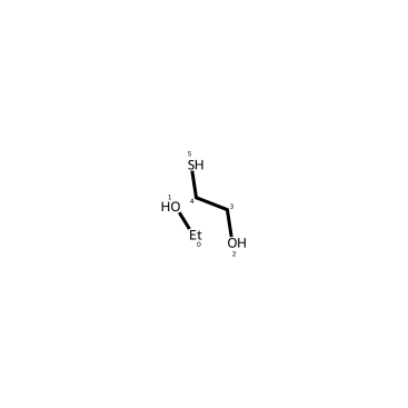 CCO.OCCS